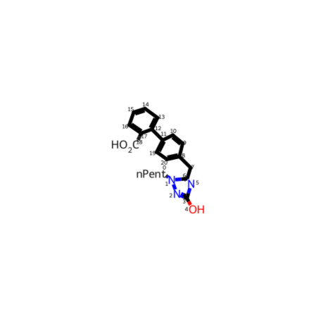 CCCCCn1nc(O)nc1Cc1ccc(-c2ccccc2C(=O)O)cc1